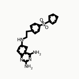 Nc1nc(N)c2cc(NCCc3ccc(S(=O)(=O)c4ccccc4)cc3)ccc2n1